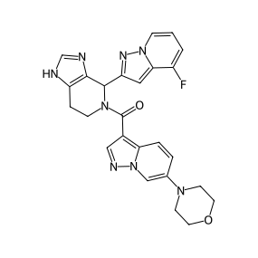 O=C(c1cnn2cc(N3CCOCC3)ccc12)N1CCc2[nH]cnc2C1c1cc2c(F)cccn2n1